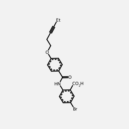 CCC#CCCOc1ccc(C(=O)Nc2ccc(Br)cc2C(=O)O)cc1